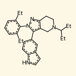 CCc1cccc(CC)c1-n1nc2c(c1-c1ccc3[nH]ccc3c1)CN(C(CC)CC)CC2